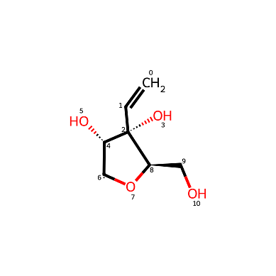 C=C[C@]1(O)[C@@H](O)[CH]O[C@@H]1CO